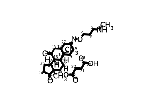 CNCCCON=C1CC[C@@]2(C)C(CC(=O)[C@@H]3[C@@H]2CC[C@]2(C)C(=O)CC[C@@H]32)C1.O=C(O)/C=C/C(=O)O